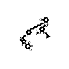 O=C1CCC(N2Cc3c(csc3COc3ccc(CCCCCCCN(C(=O)c4ccc(OC(F)F)c(OCC5CC5)c4)c4c(Cl)cncc4Cl)cc3)C2=O)C(=O)N1